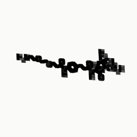 CC1(C)C[C@@H]2[C@H](NC(=O)CCc3ccc(NC(=O)CCOCCOCCN)cc3)C(=O)N2[C@H]1C(=O)O